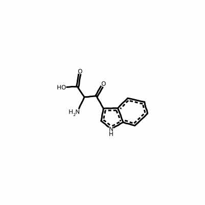 NC(C(=O)O)C(=O)c1c[nH]c2ccccc12